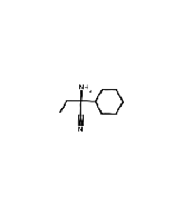 CCC(N)(C#N)C1CCCCC1